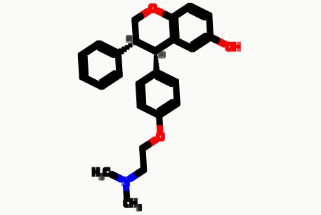 CN(C)CCOc1ccc([C@H]2c3cc(O)ccc3OC[C@H]2c2ccccc2)cc1